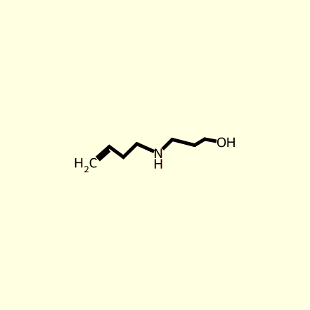 C=CCCNCCCO